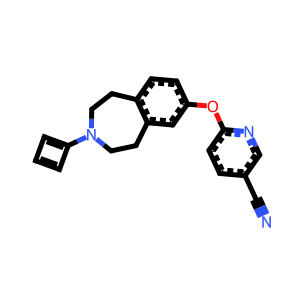 N#Cc1ccc(Oc2ccc3c(c2)CCN(C2=CC=C2)CC3)nc1